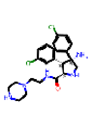 N[C@]1(c2ccc(Cl)cc2)CN[C@@H](C(=O)NCCN2CCNCC2)[C@@H]1c1cccc(Cl)c1